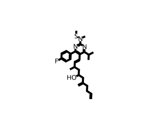 C=CCCC(=C)CC(O)CC(C)/C=C/c1c(-c2ccc(F)cc2)nc(N(C)SC)nc1C(C)C